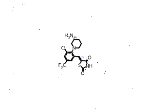 N[C@@H]1CCCN(c2c(Cl)cc(C(F)(F)F)cc2/C=C2\SC(=O)NC2=O)C1